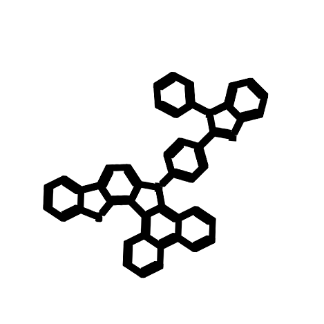 c1ccc(-n2c(-c3ccc(-n4c5ccc6c7ccccc7sc6c5c5c6ccccc6c6ccccc6c54)cc3)nc3ccccc32)cc1